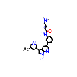 CC(=O)c1cncc(-c2c[nH]c3ncc(-c4cccc(NC(=O)/C=C/CN(C)C)c4)cc23)c1